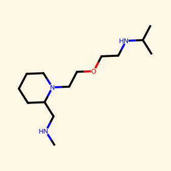 CNCC1CCCCN1CCOCCNC(C)C